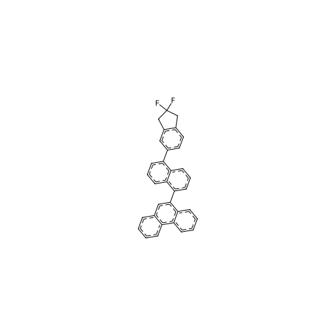 FC1(F)Cc2ccc(-c3cccc4c(-c5cc6ccccc6c6ccccc56)cccc34)cc2C1